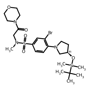 CN(CC(=O)N1CCOCC1)S(=O)(=O)c1ccc(N2CC[C@@H](O[Si](C)(C)C(C)(C)C)C2)c(Br)c1